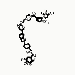 Cc1ccc(C(=O)N2CCN(CCOc3ncc(-c4ccc5cn(C6CCC(CNC(=O)c7cc(F)c(O)c(F)c7F)CC6)nc5c4)cn3)CC2)cc1N1CCC(=O)NC1=O